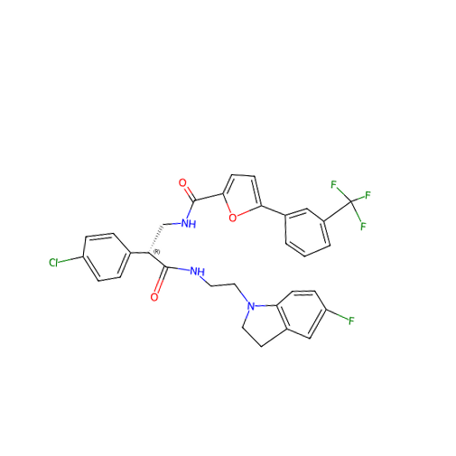 O=C(NC[C@H](C(=O)NCCN1CCc2cc(F)ccc21)c1ccc(Cl)cc1)c1ccc(-c2cccc(C(F)(F)F)c2)o1